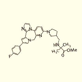 COC(=O)C(C)(C)NCC1CCN(c2ccc3c(n2)Cn2cc(-c4ccc(F)cc4)cc2-c2nccn2-3)C1